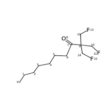 CCCCCCCC(=O)C(CF)(CF)CF